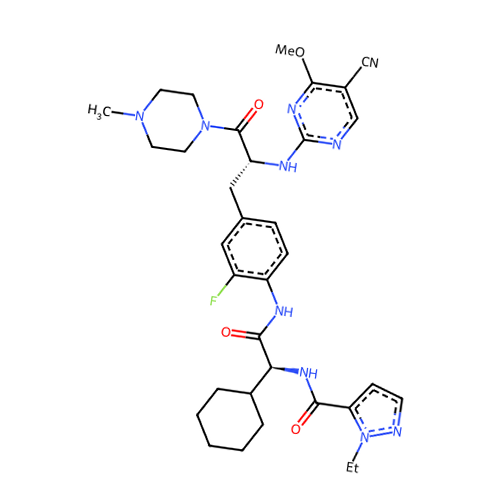 CCn1nccc1C(=O)N[C@H](C(=O)Nc1ccc(C[C@@H](Nc2ncc(C#N)c(OC)n2)C(=O)N2CCN(C)CC2)cc1F)C1CCCCC1